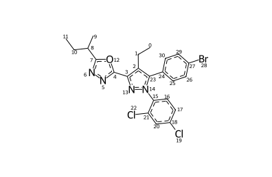 CCc1c(-c2nnc(C(C)CC)o2)nn(-c2ccc(Cl)cc2Cl)c1-c1ccc(Br)cc1